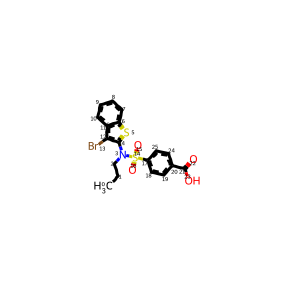 CCCN(c1sc2ccccc2c1Br)S(=O)(=O)c1ccc(C(=O)O)cc1